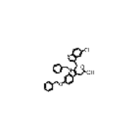 O=C(O)Cc1c(Cc2csc3ccc(Cl)cc23)n(Cc2ccccc2)c2cc(OCc3ccccc3)ccc12